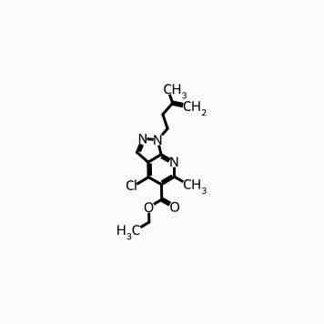 C=C(C)CCn1ncc2c(Cl)c(C(=O)OCC)c(C)nc21